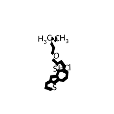 CN(C)CCCOCC1C=CC2=CC=Cc3c(cc4cccsc3-4)C2S1.Cl